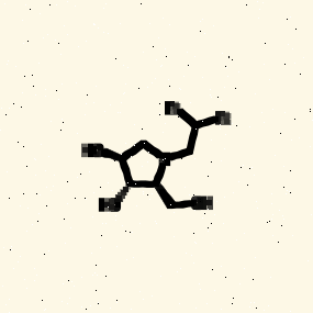 CCC(CC)CN1C[C@H](O)[C@@H](O)[C@@H]1CO